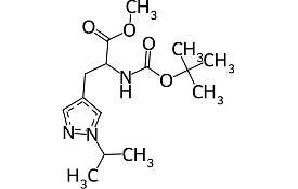 COC(=O)C(Cc1cnn(C(C)C)c1)NC(=O)OC(C)(C)C